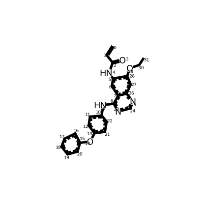 C=CC(=O)Nc1cc2c(Nc3ccc(Oc4ccccc4)cc3)ncnc2cc1OCC